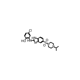 CC(C)N1CCN(S(=O)(=O)c2ccc3[nH]c(Nc4cc(Cl)ccc4O)nc3c2)CC1